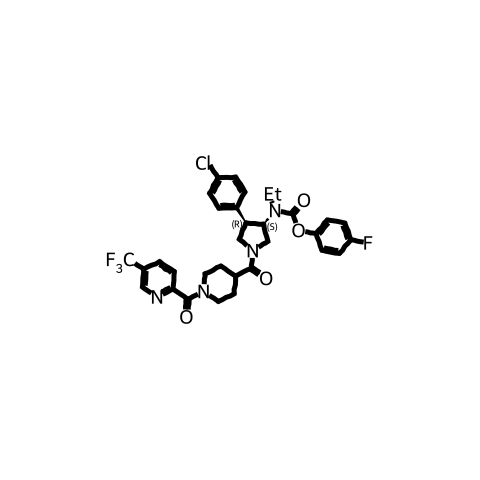 CCN(C(=O)Oc1ccc(F)cc1)[C@@H]1CN(C(=O)C2CCN(C(=O)c3ccc(C(F)(F)F)cn3)CC2)C[C@H]1c1ccc(Cl)cc1